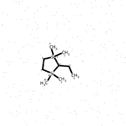 CCC1[Si](C)(C)CC[Si]1(C)C